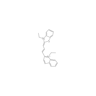 CCN1C(=CC=Cc2ccc3ccccc3[n+]2CC)Sc2ccccc21